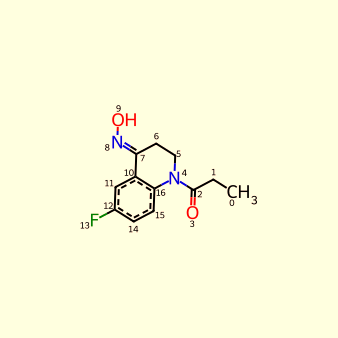 CCC(=O)N1CCC(=NO)c2cc(F)ccc21